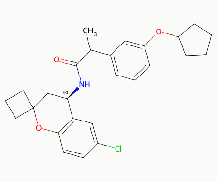 CC(C(=O)N[C@@H]1CC2(CCC2)Oc2ccc(Cl)cc21)c1cccc(OC2CCCC2)c1